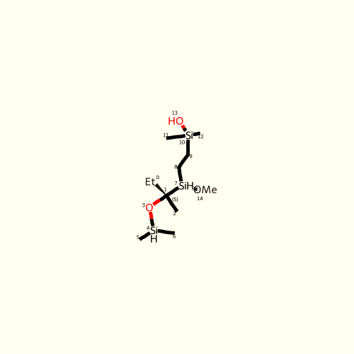 CC[C@@](C)(O[SiH](C)C)[SiH](CC[Si](C)(C)O)OC